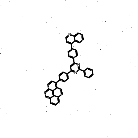 c1ccc(-c2nc(-c3ccc(-c4ccnc5ccccc45)cc3)cc(-c3ccc(-c4ccc5ccc6cccc7ccc4c5c67)cc3)n2)cc1